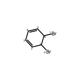 BrC1C=CC=CC1Br